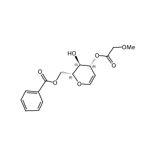 COCC(=O)O[C@@H]1C=CO[C@H](COC(=O)c2ccccc2)[C@H]1O